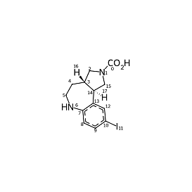 O=C(O)N1C[C@H]2CCNc3ccc(I)cc3[C@@H]2C1